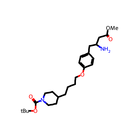 COC(=O)CC(N)Cc1ccc(OCCCCC2CCN(C(=O)OC(C)(C)C)CC2)cc1